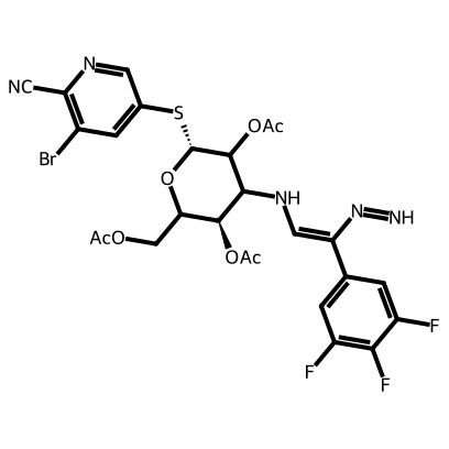 CC(=O)OCC1O[C@H](Sc2cnc(C#N)c(Br)c2)C(OC(C)=O)C(N/C=C(\N=N)c2cc(F)c(F)c(F)c2)[C@H]1OC(C)=O